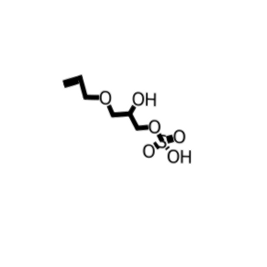 C=CCOCC(O)COS(=O)(=O)O